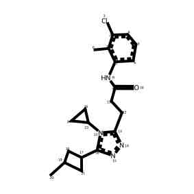 Cc1c(Cl)cccc1NC(=O)CCc1nnc(C2CC(C)C2)n1C1CC1